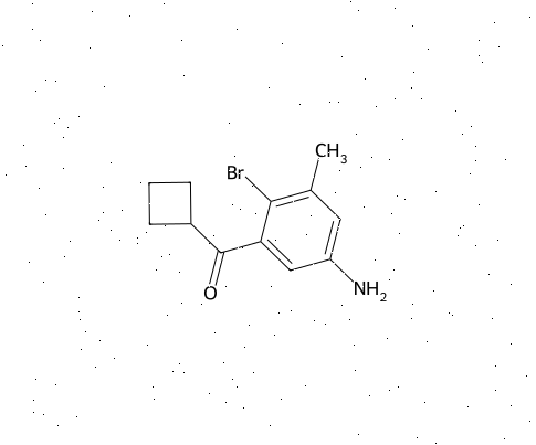 Cc1cc(N)cc(C(=O)C2CCC2)c1Br